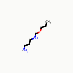 CCCOCNCCCN